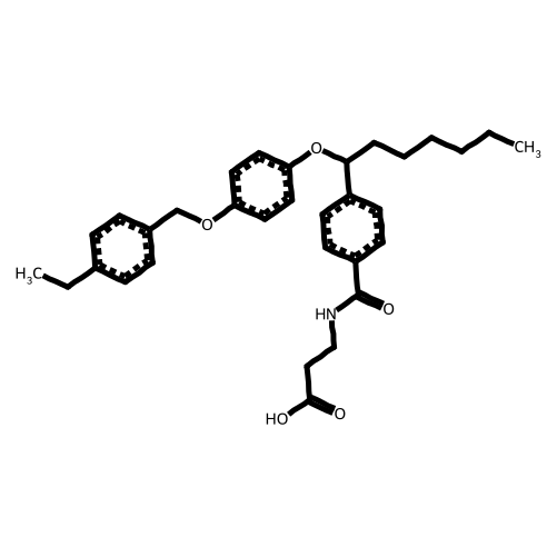 CCCCCCC(Oc1ccc(OCc2ccc(CC)cc2)cc1)c1ccc(C(=O)NCCC(=O)O)cc1